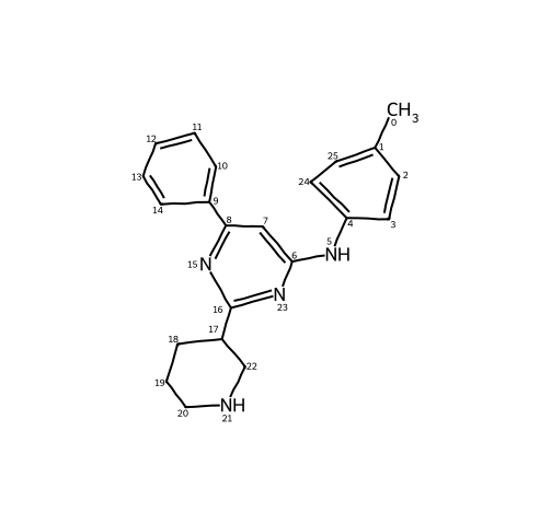 Cc1ccc(Nc2cc(-c3ccccc3)nc(C3CCCNC3)n2)cc1